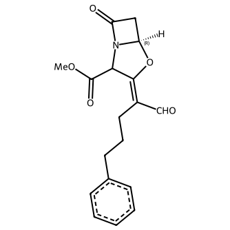 COC(=O)C1C(=C(C=O)CCCc2ccccc2)O[C@@H]2CC(=O)N12